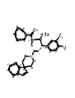 CCCCC([C@@H](CCN1CCC2(C=Cc3ccccc32)CC1)c1ccc(Cl)c(Cl)c1)N(C)C(=O)c1ccccc1